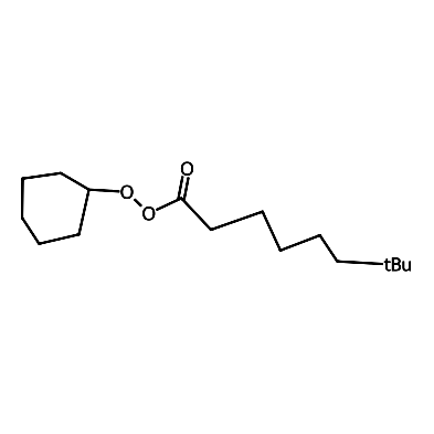 CC(C)(C)CCCCCC(=O)OOC1CCCCC1